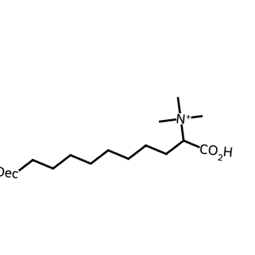 CCCCCCCCCCCCCCCCCCC(C(=O)O)[N+](C)(C)C